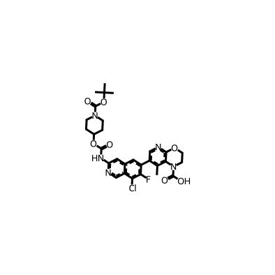 Cc1c(-c2cc3cc(NC(=O)OC4CCN(C(=O)OC(C)(C)C)CC4)ncc3c(Cl)c2F)cnc2c1N(C(=O)O)CCO2